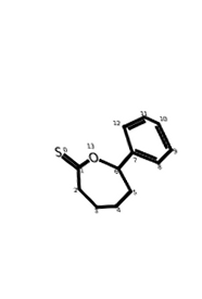 S=C1CCCCC(c2ccccc2)O1